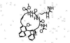 COC(=O)[C@@H]1CC=CCc2cc3ccccc3c(c2OC)-c2c(OC)c(cc3ccccc23)CC(NC(C)=O)C(=O)N[C@@H](CCCNC(C)=N)C(=O)N1